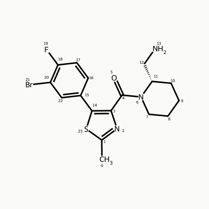 Cc1nc(C(=O)N2CCCC[C@H]2CN)c(-c2ccc(F)c(Br)c2)s1